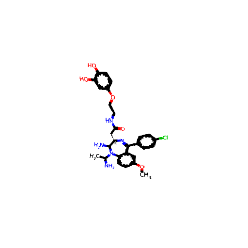 COc1ccc2c(c1)C(c1ccc(Cl)cc1)=N[C@@H](CC(=O)NCCOc1ccc(O)c(O)c1)C(N)N2C(C)N